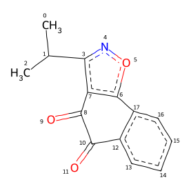 CC(C)c1noc2c1C(=O)C(=O)c1ccccc1-2